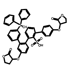 CS(c1ccccc1)(c1ccccc1)c1cccc(-c2cc(OC3CCOC3=O)ccc2-c2cccc(-c3ccc(OC4CCOC4=O)cc3)c2S(=O)(=O)O)c1